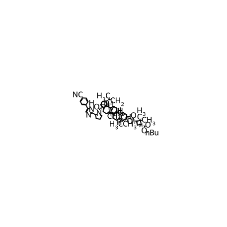 C=C(C)[C@@H]1CC[C@]2(C(=O)N3CCCC3c3ncc(-c4ccc(C#N)cc4)[nH]3)CC[C@]3(C)[C@H](CC[C@@H]4[C@@]5(C)CC[C@H](OC(=O)[C@H]6C[C@@H](C(=O)OCCCC)C6(C)C)C(C)(C)[C@@H]5CC[C@]43C)[C@@H]12